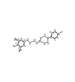 Cc1ccc(C2CCC(CCCCc3cc(F)c(C)c(F)c3)CC2)cc1